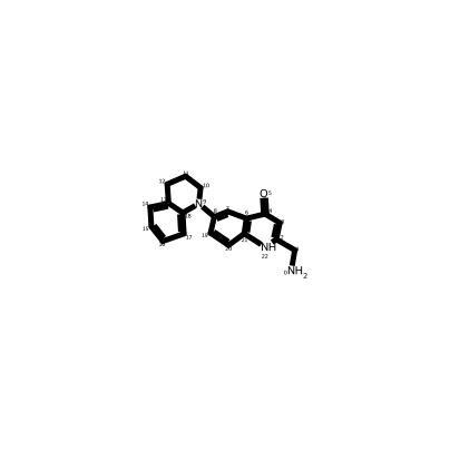 NCc1cc(=O)c2cc(N3CCCc4ccccc43)ccc2[nH]1